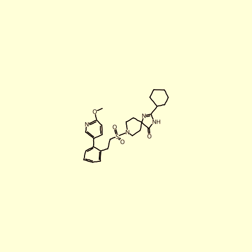 COc1ccc(-c2ccccc2CCS(=O)(=O)N2CCC3(CC2)N=C(C2CCCCC2)NC3=O)cn1